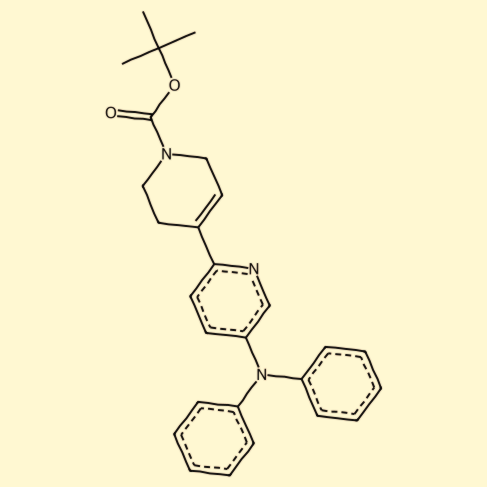 CC(C)(C)OC(=O)N1CC=C(c2ccc(N(c3ccccc3)c3ccccc3)cn2)CC1